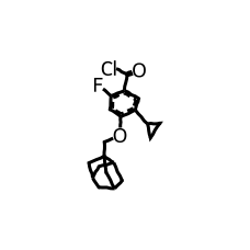 O=C(Cl)c1cc(C2CC2)c(OCC23CC4CC(CC2C4)C3)cc1F